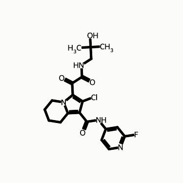 CC(C)(O)CNC(=O)C(=O)c1c(Cl)c(C(=O)Nc2ccnc(F)c2)c2n1CCCC2